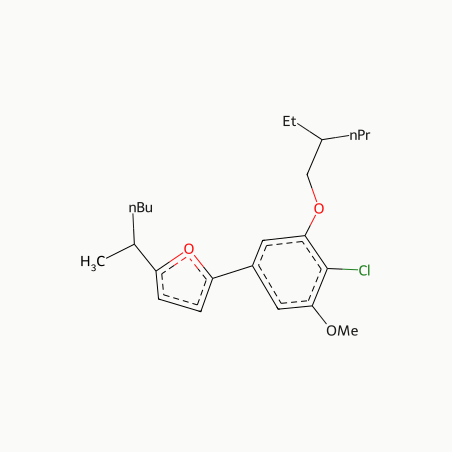 CCCCC(C)c1ccc(-c2cc(OC)c(Cl)c(OCC(CC)CCC)c2)o1